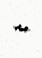 CC(c1cc(F)cc(F)c1)N(Cc1cnc2cc3c(cc2c1)CC1(C3)C(=O)Nc2ncccc21)C(=O)C1(C)CC1